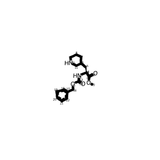 COC(=O)[C@H](CC1CCCNC1)NC(=O)OCc1ccccc1